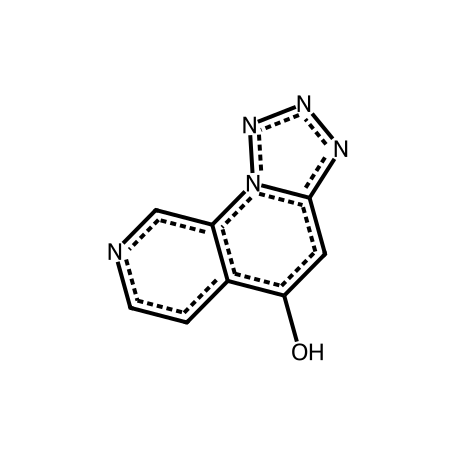 Oc1cc2nnnn2c2cnccc12